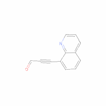 O=CC#Cc1cccc2cccnc12